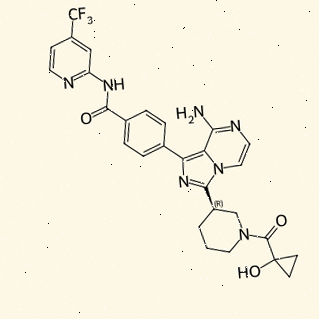 Nc1nccn2c([C@@H]3CCCN(C(=O)C4(O)CC4)C3)nc(-c3ccc(C(=O)Nc4cc(C(F)(F)F)ccn4)cc3)c12